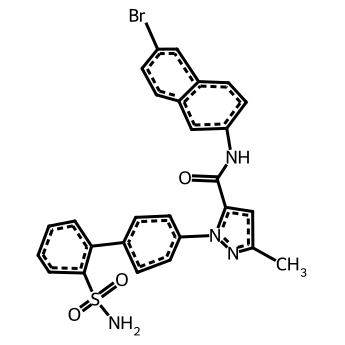 Cc1cc(C(=O)Nc2ccc3cc(Br)ccc3c2)n(-c2ccc(-c3ccccc3S(N)(=O)=O)cc2)n1